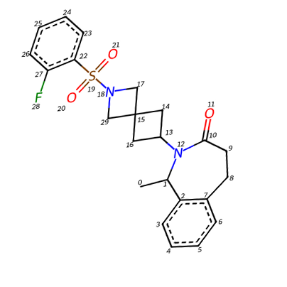 CC1c2ccccc2CCC(=O)N1C1CC2(C1)CN(S(=O)(=O)c1ccccc1F)C2